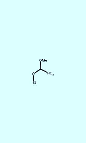 [CH2]COC(OC)[N+](=O)[O-]